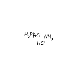 Cl.Cl.N.[PbH2]